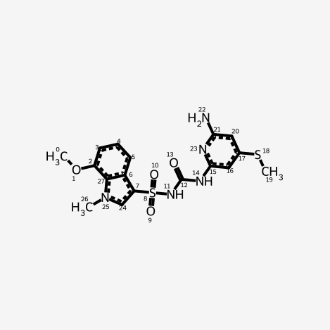 COc1cccc2c(S(=O)(=O)NC(=O)Nc3cc(SC)cc(N)n3)cn(C)c12